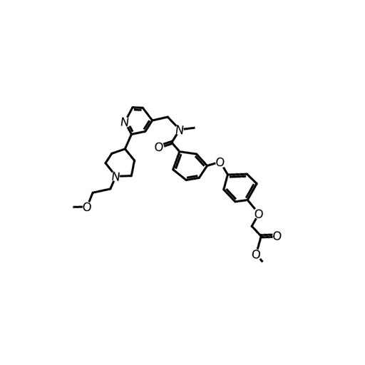 COCCN1CCC(c2cc(CN(C)C(=O)c3cccc(Oc4ccc(OCC(=O)OC)cc4)c3)ccn2)CC1